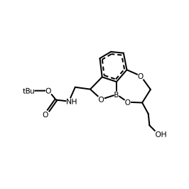 CC(C)(C)OC(=O)NCC1OB2OC(CCO)COc3cccc1c32